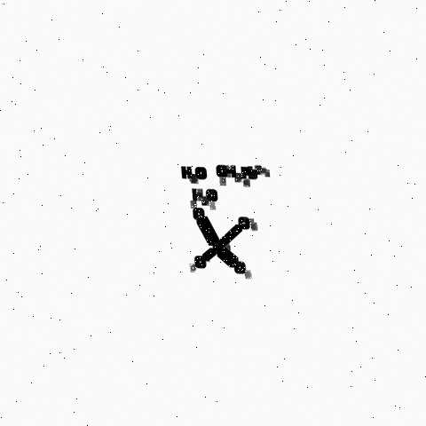 O.O.O.O=S(=O)([O-])[O-].[Pb+2]